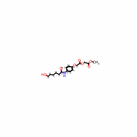 COC(=O)COC(=O)COc1ccc(NC(=O)CCCCCO)cc1